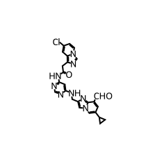 O=Cc1cc(C2CC2)cn2cc(CNc3cc(NC(=O)Cc4ncn5ccc(Cl)cc45)ncn3)nc12